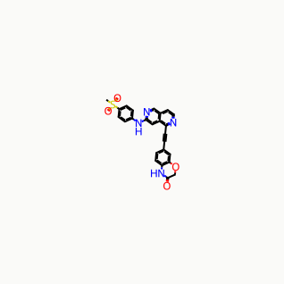 CS(=O)(=O)c1ccc(Nc2cc3c(C#Cc4ccc5c(c4)OCC(=O)N5)nccc3cn2)cc1